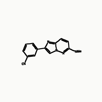 [C-]#[N+]c1cccc(-c2cn3nc(NC)ccc3n2)c1